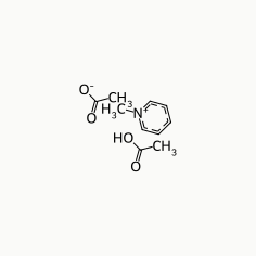 CC(=O)O.CC(=O)[O-].C[n+]1ccccc1